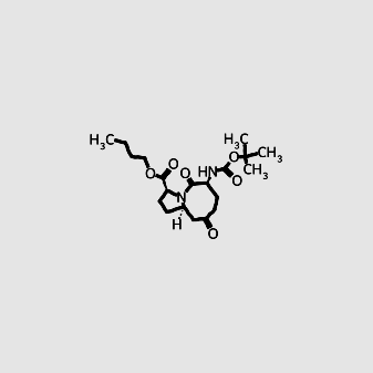 CCCCOC(=O)[C@@H]1CC[C@@H]2CC(=O)CC[C@H](NC(=O)OC(C)(C)C)C(=O)N21